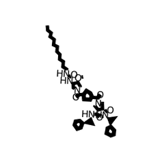 CCCCCCCCCCCCCNC(=O)N[C@H]1CN(C(=O)c2ccc(C(=O)N3C[C@@H](C(=O)N[C@H]4C[C@@H]4c4ccccc4)[C@H](C(=O)N[C@H]4C[C@@H]4c4ccccc4)C3)cc2)C[C@H]1OC